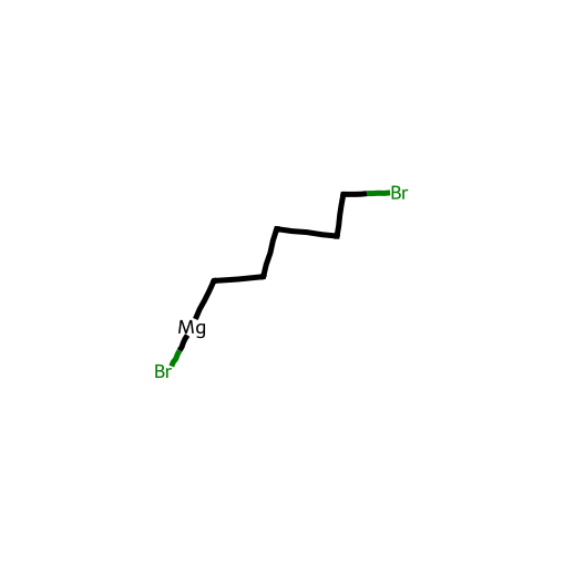 BrCCCC[CH2][Mg][Br]